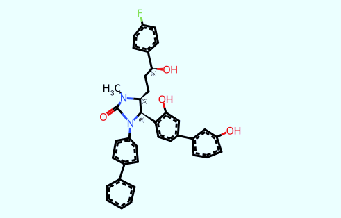 CN1C(=O)N(c2ccc(-c3ccccc3)cc2)[C@H](c2ccc(-c3cccc(O)c3)cc2O)[C@@H]1CC[C@H](O)c1ccc(F)cc1